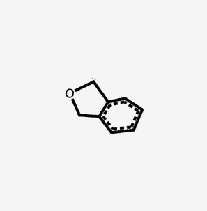 [C]1OCc2ccccc21